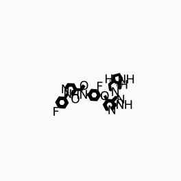 O=C(Nc1ccc(Oc2ccnc3[nH]nc(N4CC[C@@H]5CCN[C@@H]5C4)c23)c(F)c1)c1ccnn(-c2ccc(F)cc2)c1=O